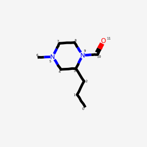 CCCC1CN(C)CCN1C=O